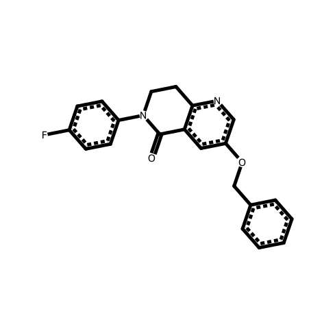 O=C1c2cc(OCc3ccccc3)cnc2CCN1c1ccc(F)cc1